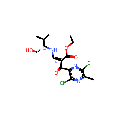 CCOC(=O)/C(=C\N[C@H](CO)C(C)C)C(=O)c1nc(Cl)c(C)nc1Cl